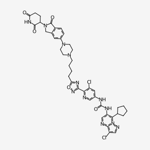 O=C1CCC(N2Cc3cc(N4CCN(CCCCc5nc(-c6ncc(NC(=O)Nc7cnc8c(Cl)cnn8c7C7CCCC7)cc6Cl)no5)CC4)ccc3C2=O)C(=O)N1